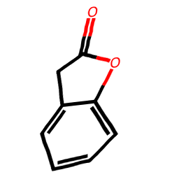 O=C1Cc2ccccc2O1